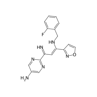 N=C(/C=C(\NCc1ccccc1F)c1ccon1)c1ncc(N)cn1